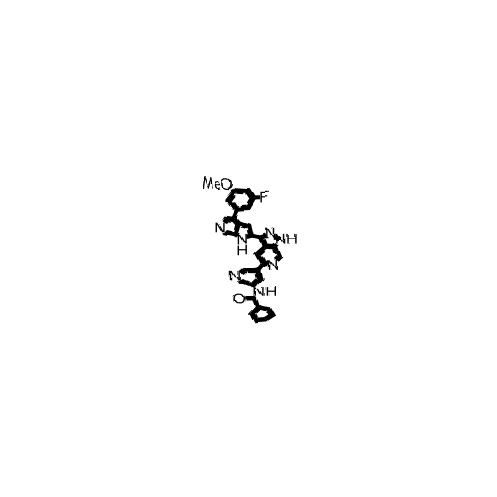 COc1cc(F)cc(-c2cncc3[nH]c(-c4n[nH]c5cnc(-c6cncc(NC(=O)c7ccccc7)c6)cc45)cc23)c1